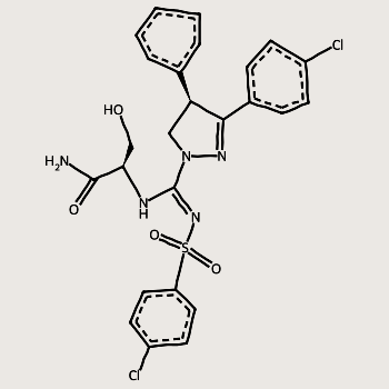 NC(=O)[C@@H](CO)N/C(=N\S(=O)(=O)c1ccc(Cl)cc1)N1C[C@@H](c2ccccc2)C(c2ccc(Cl)cc2)=N1